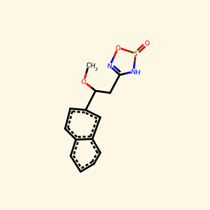 COC(CC1=NOS(=O)N1)c1ccc2ccccc2c1